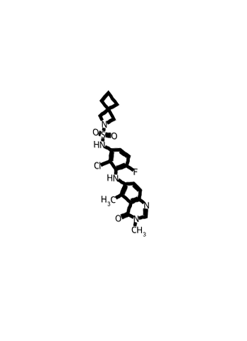 Cc1c(Nc2c(F)ccc(NS(=O)(=O)N3CC4(CCC4)C3)c2Cl)ccc2ncn(C)c(=O)c12